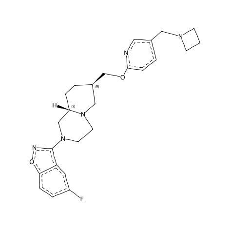 Fc1ccc2onc(N3CCN4C[C@H](COc5ccc(CN6CCC6)cn5)CC[C@H]4C3)c2c1